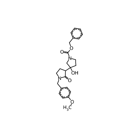 COc1ccc(CN2CCC(C3(O)CCN(C(=O)OCc4ccccc4)C3)C2=O)cc1